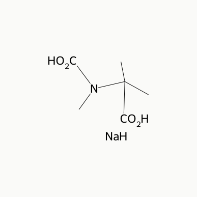 CN(C(=O)O)C(C)(C)C(=O)O.[NaH]